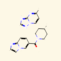 Cc1cc([C@H]2CN(C(=O)c3ccc4nccn4c3)CC[C@@H]2C)n2ncnc2n1